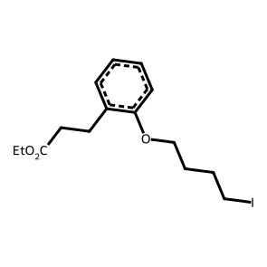 CCOC(=O)CCc1ccccc1OCCCCI